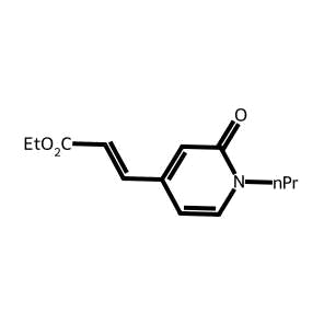 CCCn1ccc(/C=C/C(=O)OCC)cc1=O